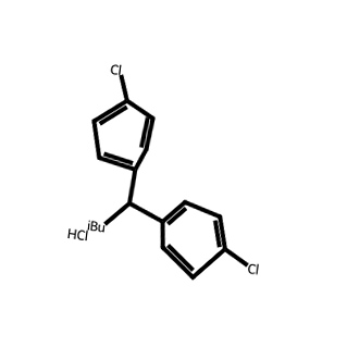 CCC(C)C(c1ccc(Cl)cc1)c1ccc(Cl)cc1.Cl